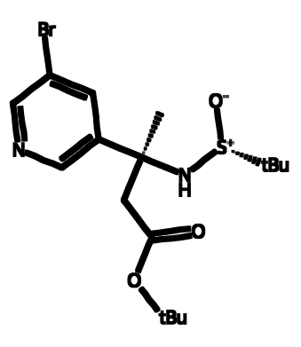 CC(C)(C)OC(=O)C[C@](C)(N[S@+]([O-])C(C)(C)C)c1cncc(Br)c1